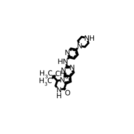 CC(C)(C)C1CNC(=O)c2cc3cnc(Nc4ccc(N5CCNCC5)cn4)nc3n21